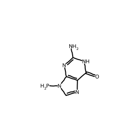 Nc1nc2c(ncn2P)c(=O)[nH]1